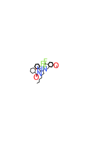 CCCCC1CC(NCc2cc(OC)ccc2C(F)(F)F)C(c2ccccc2)N1C(=O)C1CCCCC1